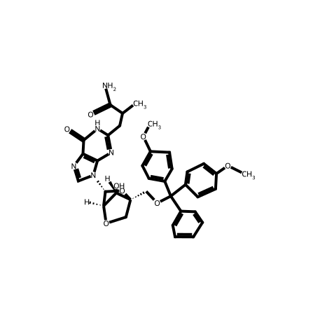 COc1ccc(C(OC[C@@]23CO[C@@H]([C@H](n4cnc5c(=O)[nH]c(CC(C)C(N)=O)nc54)O2)[C@@H]3O)(c2ccccc2)c2ccc(OC)cc2)cc1